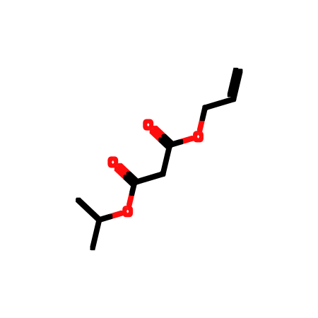 C=CCOC(=O)CC(=O)OC(C)C